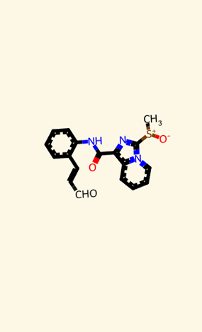 C[S+]([O-])c1nc(C(=O)Nc2ccccc2/C=C/C=O)c2ccccn12